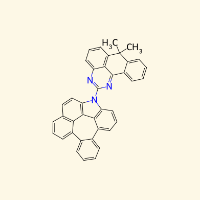 CC1(C)c2ccccc2-c2nc(-n3c4cccc5c4c4c6c(cccc6ccc43)-c3ccccc3-5)nc3cccc1c23